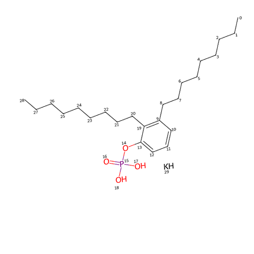 CCCCCCCCCc1cccc(OP(=O)(O)O)c1CCCCCCCCC.[KH]